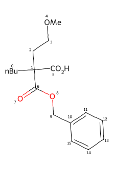 CCCCC(CCOC)(C(=O)O)C(=O)OCc1ccccc1